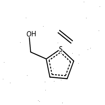 C=C.OCc1cccs1